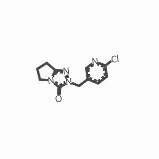 O=c1n(Cc2ccc(Cl)nc2)nc2n1CCC2